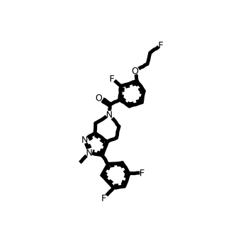 Cn1nc2c(c1-c1cc(F)cc(F)c1)CCN(C(=O)c1cccc(OCCF)c1F)C2